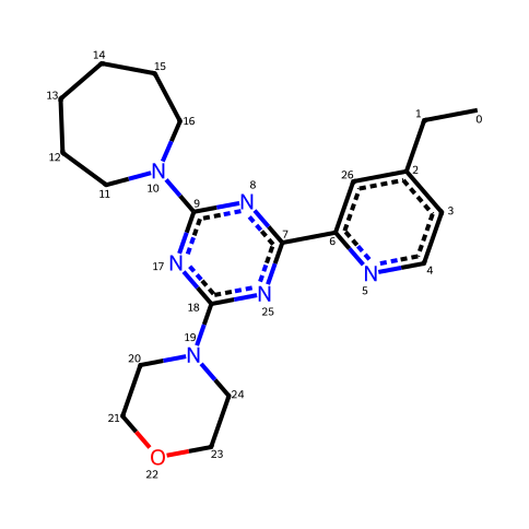 CCc1ccnc(-c2nc(N3CCCCCC3)nc(N3CCOCC3)n2)c1